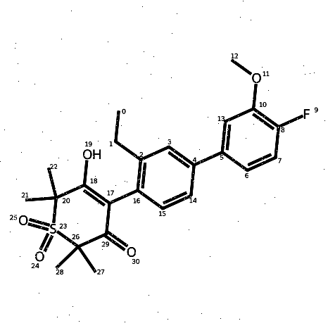 CCc1cc(-c2ccc(F)c(OC)c2)ccc1C1=C(O)C(C)(C)S(=O)(=O)C(C)(C)C1=O